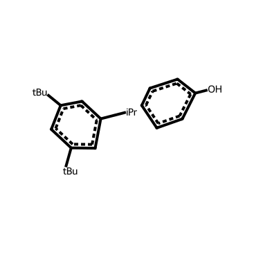 CC(C)c1cc(C(C)(C)C)cc(C(C)(C)C)c1.Oc1ccccc1